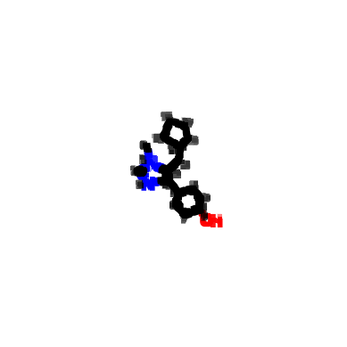 Cn1cnc(-c2ccc(O)cc2)c1C[C]1CCCC1